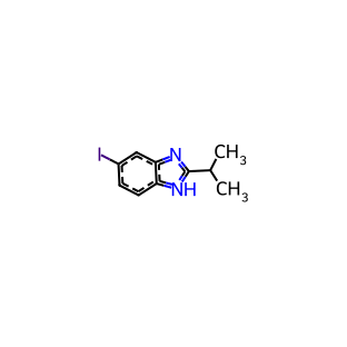 CC(C)c1nc2cc(I)ccc2[nH]1